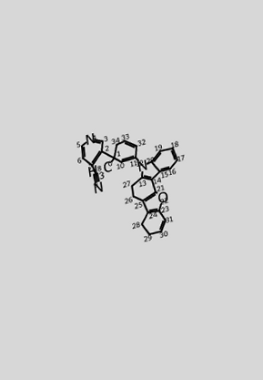 CC1(c2cnccc2C#N)C=C(n2c3c(c4ccccc42)-c2oc4c(c2CC3)CCC=C4)C=CC1